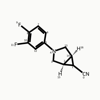 N#CC1[C@H]2CN(c3ccc(F)c(F)c3)C[C@@H]12